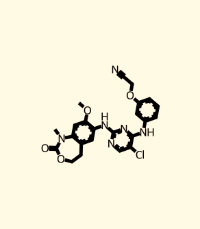 COc1cc2c(cc1Nc1ncc(Cl)c(Nc3cccc(OCC#N)c3)n1)CCOC(=O)N2C